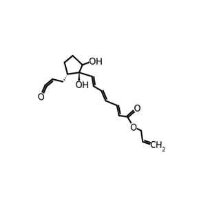 C=CCOC(=O)C=CC=CC=C[C@@]1(O)C(O)CC[C@H]1CC=C=O